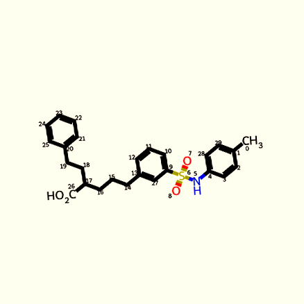 Cc1ccc(NS(=O)(=O)c2cccc(CCCC(CCc3ccccc3)C(=O)O)c2)cc1